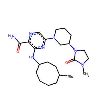 CN1CCN([C@@H]2CCCN(c3cnc(C(N)=O)c(NC4CCCCC(C(C)(C)C)CC4)n3)C2)C1=O